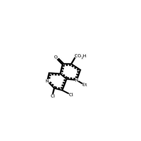 CCn1cc(C(=O)O)c(=O)c2cnc(Cl)c(Cl)c21